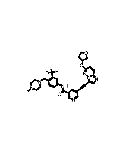 CN1CCN(Cc2ccc(NC(=O)c3cncc(C#Cc4cnc5ccc(O[C@H]6CCOC6)nn45)c3)cc2C(F)(F)F)CC1